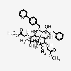 COC(=O)CN[C@H](C(=O)N[C@@H](Cc1ccccc1)[C@@H](O)CN(Cc1ccc(-c2ccccn2)cc1)NC(=O)[C@@H](NCC(=O)OC)C(C)(C)C)C(C)(C)C